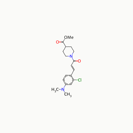 COC(=O)C1CCN(C(=O)/C=C/c2ccc(N(C)C)cc2Cl)CC1